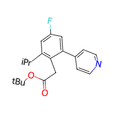 CC(C)c1cc(F)cc(-c2ccncc2)c1CC(=O)OC(C)(C)C